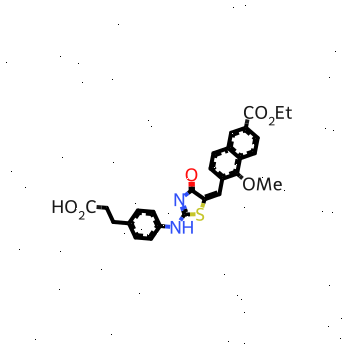 CCOC(=O)c1ccc2c(OC)c(C=C3SC(Nc4ccc(CCC(=O)O)cc4)=NC3=O)ccc2c1